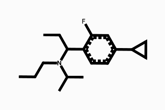 CCCN(C(C)C)C(CC)c1ccc(C2CC2)cc1F